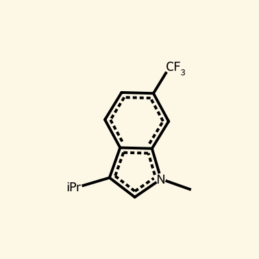 CC(C)c1cn(C)c2cc(C(F)(F)F)ccc12